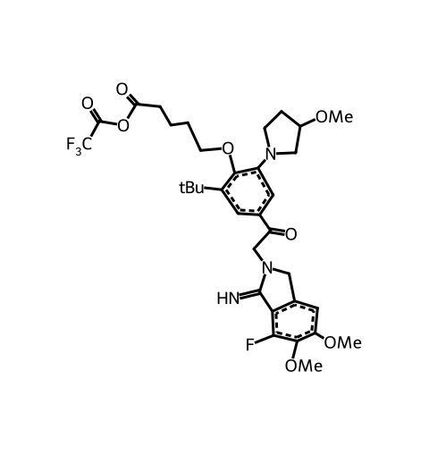 COc1cc2c(c(F)c1OC)C(=N)N(CC(=O)c1cc(N3CCC(OC)C3)c(OCCCCC(=O)OC(=O)C(F)(F)F)c(C(C)(C)C)c1)C2